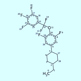 CCC1CCC(c2cc(F)c(OC(F)(F)c3cc(F)c(F)c(F)c3)c(F)c2)CC1